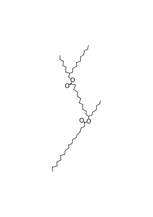 CCCCCCCCCCCCCCCCCC(=O)OC(CCCCCC)CCCCCCCCCCC(=O)OCC(CCCCCC)CCCCCCCCCC